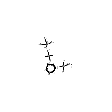 F[B-](F)(F)F.F[B-](F)(F)F.F[B-](F)(F)F.[K+].c1ccccc1